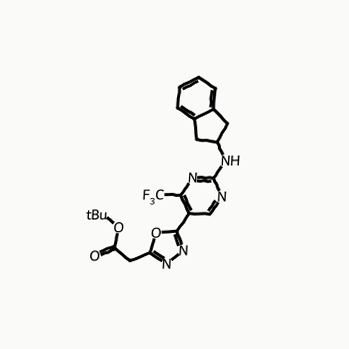 CC(C)(C)OC(=O)Cc1nnc(-c2cnc(NC3Cc4ccccc4C3)nc2C(F)(F)F)o1